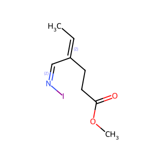 C/C=C(\C=N/I)CCC(=O)OC